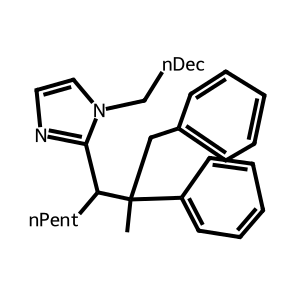 CCCCCCCCCCCn1ccnc1C(CCCCC)C(C)(Cc1ccccc1)c1ccccc1